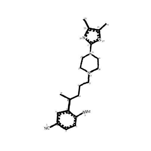 CNc1ccc(C#N)cc1C(C)CCCN1CCN(c2nc(C)c(C)s2)CC1